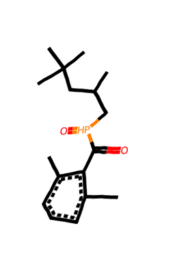 Cc1cccc(C)c1C(=O)[PH](=O)CC(C)CC(C)(C)C